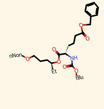 CCCCCCCCCOCCC[C@H](CC)OC(=O)[C@H](CCCC(=O)OCc1ccccc1)NC(=O)OC(C)(C)C